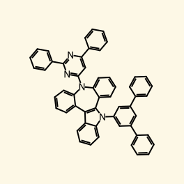 c1ccc(-c2cc(-c3ccccc3)cc(-n3c4c(c5ccccc53)-c3ccccc3N(c3cc(-c5ccccc5)nc(-c5ccccc5)n3)c3ccccc3-4)c2)cc1